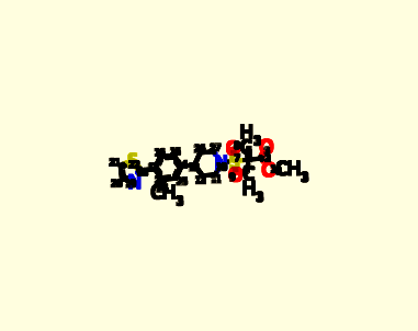 COC(=O)C(C)(C)S(=O)(=O)N1CCC(c2ccc(-c3nccs3)c(C)c2)CC1